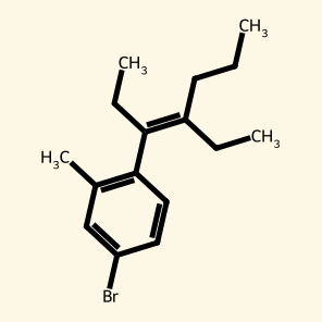 CCC/C(CC)=C(\CC)c1ccc(Br)cc1C